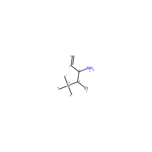 C=CC(N)C(CC)[Si](C)(C)C